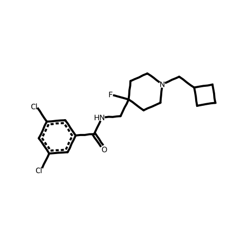 O=C(NCC1(F)CCN(CC2CCC2)CC1)c1cc(Cl)cc(Cl)c1